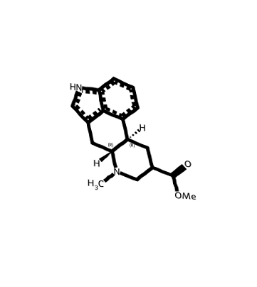 COC(=O)C1C[C@@H]2c3cccc4[nH]cc(c34)C[C@H]2N(C)C1